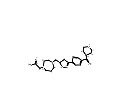 N=C(c1ccc(C2=NOC(CN3CCCN(CC(=O)O)CC3)C2)cc1)N1CCOCC1